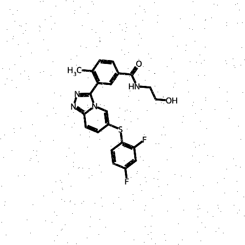 Cc1ccc(C(=O)NCCO)cc1-c1nnc2ccc(Sc3ccc(F)cc3F)cn12